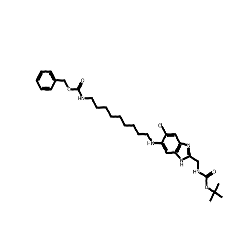 CC(C)(C)OC(=O)NCc1nc2cc(Cl)c(NCCCCCCCCCNC(=O)OCc3ccccc3)cc2[nH]1